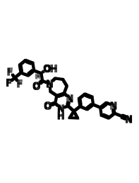 N#Cc1ccc(-c2cccc(C3(c4nc5c(c(=O)[nH]4)CN(C(=O)[C@H](O)c4cccc(C(F)(F)F)c4)CCC5)CC3)c2)cn1